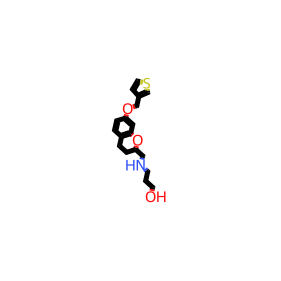 OCCCNCC1CCc2ccc(OCc3ccsc3)cc2O1